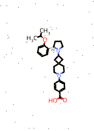 CC(C)Oc1ccccc1[C@@H]1CCCN1C1CC2(CCN(c3ccc(C(=O)O)cc3)CC2)C1